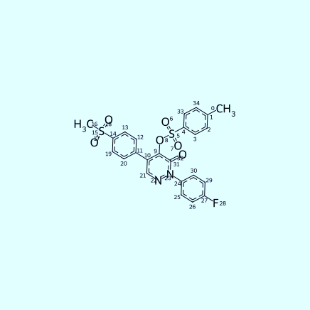 Cc1ccc(S(=O)(=O)Oc2c(-c3ccc(S(C)(=O)=O)cc3)cnn(-c3ccc(F)cc3)c2=O)cc1